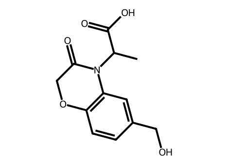 CC(C(=O)O)N1C(=O)COc2ccc(CO)cc21